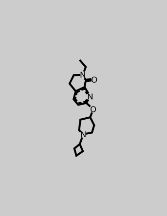 CCN1CCc2ccc(OC3CCN(C4CCC4)CC3)nc2C1=O